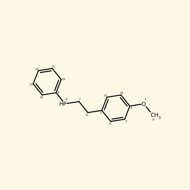 COc1ccc(CCPc2ccccc2)cc1